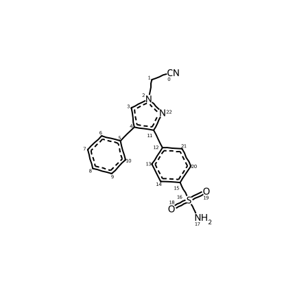 N#CCn1cc(-c2ccccc2)c(-c2ccc(S(N)(=O)=O)cc2)n1